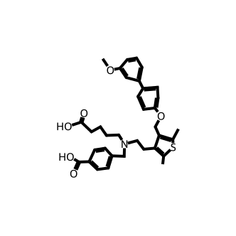 COc1cccc(-c2ccc(OCc3c(C)sc(C)c3CCN(CCCCC(=O)O)Cc3ccc(C(=O)O)cc3)cc2)c1